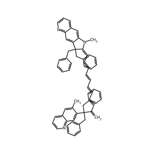 C=C(/C=C/C=C/C=C/C=C/C=C1/N(C)c2cc3cccnc3cc2C1(Cc1ccccc1)Cc1ccccc1)C(Cc1ccccc1)(Cc1ccccc1)c1cc2ncccc2cc1C